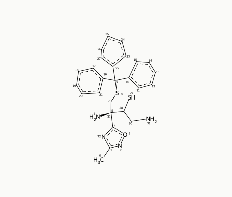 Cc1noc([C@](N)(CSC(c2ccccc2)(c2ccccc2)c2ccccc2)C(S)CN)n1